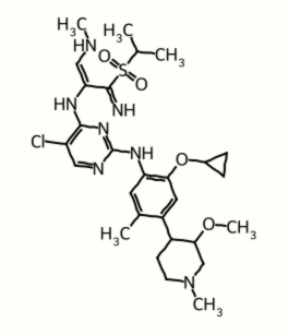 CN/C=C(/Nc1nc(Nc2cc(C)c(C3CCN(C)CC3OC)cc2OC2CC2)ncc1Cl)C(=N)S(=O)(=O)C(C)C